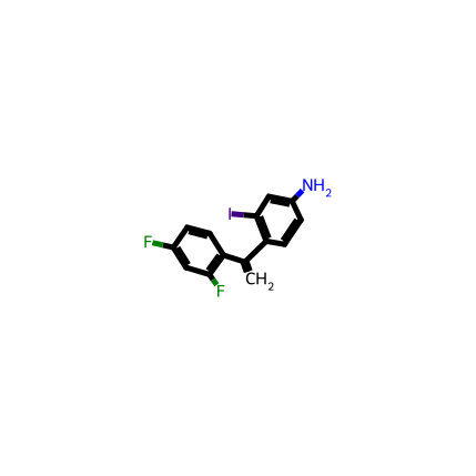 C=C(c1ccc(F)cc1F)c1ccc(N)cc1I